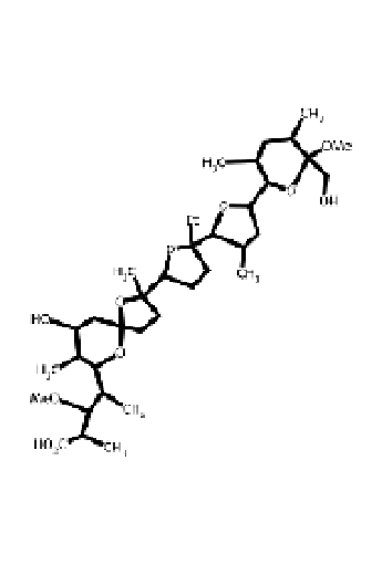 CCC1(C2OC(C3OC(CO)(OC)C(C)CC3C)CC2C)CCC(C2(C)CCC3(CC(O)C(C)C(C(C)C(OC)C(C)C(=O)O)O3)O2)O1